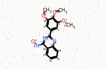 COc1cc(-c2nc(N=O)c3ccccc3n2)cc(OC)c1OC